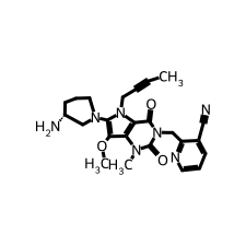 CC#CCn1c(N2CCC[C@@H](N)C2)c(OC)c2c1c(=O)n(Cc1ncccc1C#N)c(=O)n2C